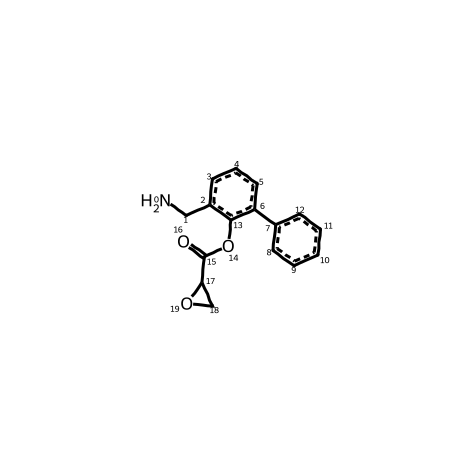 NCc1cccc(-c2ccccc2)c1OC(=O)C1CO1